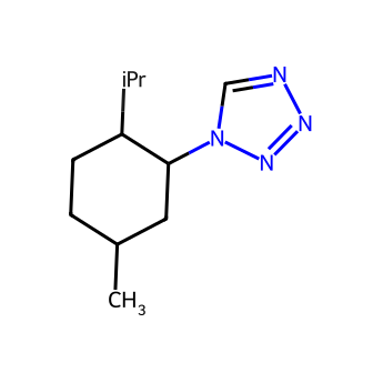 CC1CCC(C(C)C)C(n2cnnn2)C1